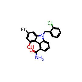 CCc1cc(O)c2c3c(C(N)=O)cccc3n(Cc3ccccc3Cl)c2c1